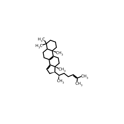 CC(C)=CCC[C@@H](C)[C@H]1CC=C2C3=C(CC[C@@]21C)[C@@]1(C)CCCC(C)(C)C1CC3